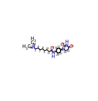 CCN(CC)CCCCCCCC(=O)Nc1ccc(N2CCC(=O)NC2=O)cc1